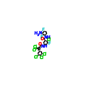 Nc1c(F)ccc(NC(=O)c2cc(NC(=O)[C@H]3[C@H](c4cc(Cl)c(Cl)c(Cl)c4)C3(Cl)Cl)cc(F)c2Cl)c1F